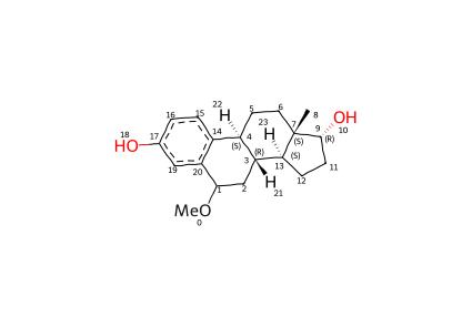 COC1C[C@@H]2[C@H](CC[C@]3(C)[C@H](O)CC[C@@H]23)c2ccc(O)cc21